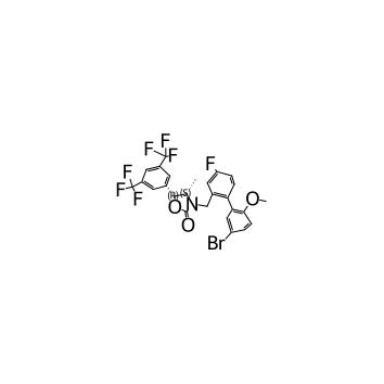 COc1ccc(Br)cc1-c1ccc(F)cc1CN1C(=O)O[C@H](c2cc(C(F)(F)F)cc(C(F)(F)F)c2)[C@@H]1C